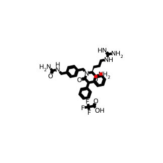 N=C(N)NCCC[C@@H](C(N)=O)N(Cc1ccc(CNC(N)=O)cc1)C(=O)C(c1ccccc1)c1ccccc1.O=C(O)C(F)(F)F